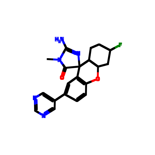 CN1C(=O)C2(N=C1N)c1cc(-c3cncnc3)ccc1OC1CC(F)CCC12